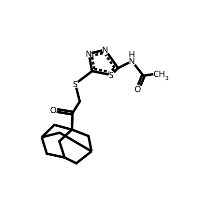 CC(=O)Nc1nnc(SCC(=O)C23CC4CC(CC(C4)C2)C3)s1